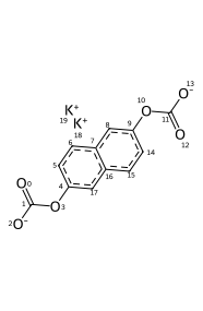 O=C([O-])Oc1ccc2cc(OC(=O)[O-])ccc2c1.[K+].[K+]